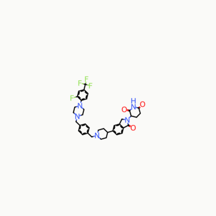 O=C1CCC(N2Cc3cc(C4CCN(Cc5ccc(CN6CCN(c7ccc(C(F)(F)F)cc7F)CC6)cc5)CC4)ccc3C2=O)C(=O)N1